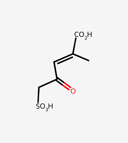 CC(=CC(=O)CS(=O)(=O)O)C(=O)O